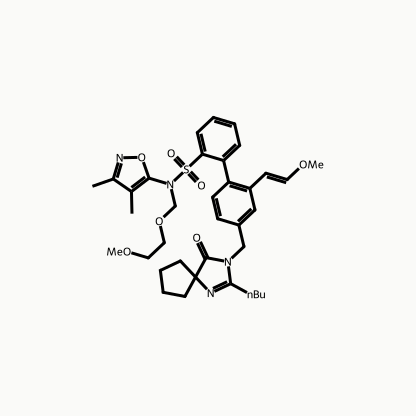 CCCCC1=NC2(CCCC2)C(=O)N1Cc1ccc(-c2ccccc2S(=O)(=O)N(COCCOC)c2onc(C)c2C)c(/C=C/OC)c1